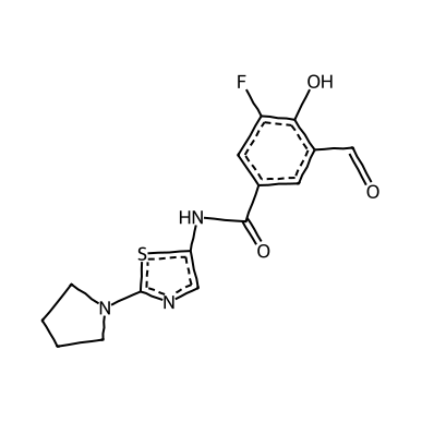 O=Cc1cc(C(=O)Nc2cnc(N3CCCC3)s2)cc(F)c1O